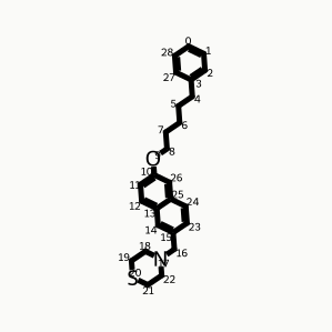 c1ccc(CCCCCOc2ccc3cc(CN4CCSCC4)ccc3c2)cc1